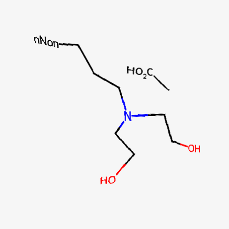 CC(=O)O.CCCCCCCCCCCCN(CCO)CCO